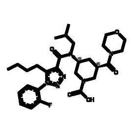 CCCCc1c(C(=O)N(CC(C)C)[C@H]2C[C@@H](C(=O)N3CCOCC3)CN(C(=O)O)C2)nnn1-c1ccccc1F